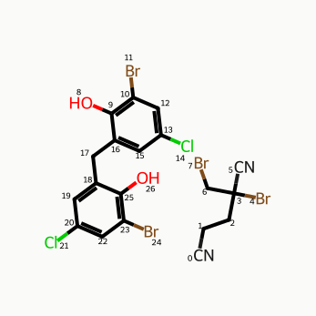 N#CCCC(Br)(C#N)CBr.Oc1c(Br)cc(Cl)cc1Cc1cc(Cl)cc(Br)c1O